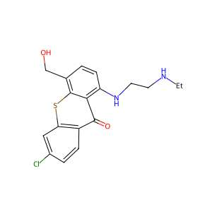 CCNCCNc1ccc(CO)c2sc3cc(Cl)ccc3c(=O)c12